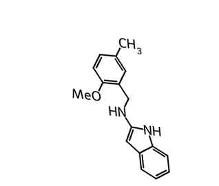 COc1ccc(C)cc1CNc1cc2ccccc2[nH]1